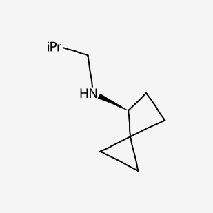 CC(C)CN[C@H]1CCC12CC2